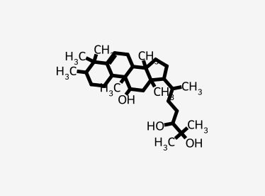 CC(CCC(O)C(C)(C)O)C1CCC2(C)C3CC=C4C(CCC(C)C4(C)C)C3(C)C(O)CC12C